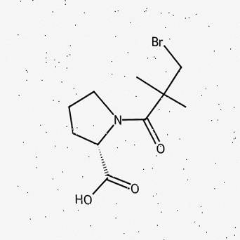 CC(C)(CBr)C(=O)N1CCC[C@H]1C(=O)O